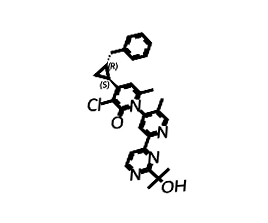 Cc1cnc(-c2ccnc(C(C)(C)O)n2)cc1-n1c(C)cc([C@H]2C[C@@H]2Cc2ccccc2)c(Cl)c1=O